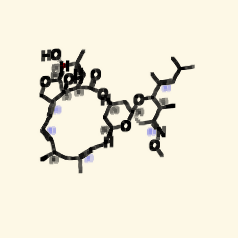 CO/N=C1\C[C@]2(C[C@@H]3C[C@@H](C/C=C(\C)C[C@@H](C)/C=C/C=C4\CO[C@@H]5[C@H](O)C(C)=C[C@@H](C(=O)O3)[C@]45O)O2)OC(/C(C)=C/C(C)C)[C@H]1C